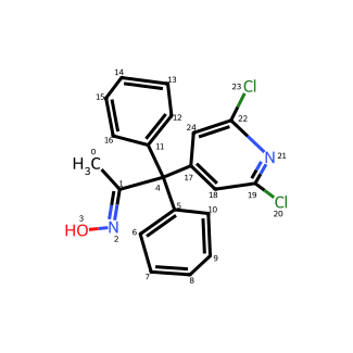 CC(=NO)C(c1ccccc1)(c1ccccc1)c1cc(Cl)nc(Cl)c1